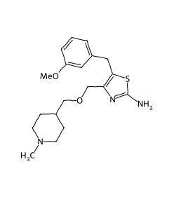 COc1cccc(Cc2sc(N)nc2COCC2CCN(C)CC2)c1